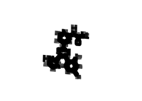 CCC(=O)Nc1cc(-c2nc(-c3ccc(C)cc3I)c(-c3ncc[nH]3)s2)ccn1